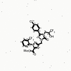 COC(=O)c1nc(Cn2nc(-c3ccc(Cl)cc3)n(C[C@H](O)C(F)(F)F)c2=O)nn1-c1ncccc1C(F)(F)F